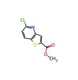 COC(=O)c1cc2nc(Cl)ccc2s1